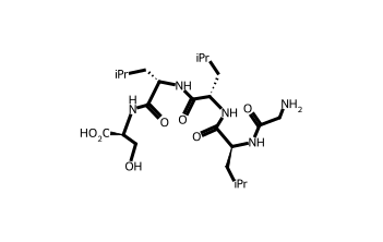 CC(C)C[C@H](NC(=O)CN)C(=O)N[C@@H](CC(C)C)C(=O)N[C@@H](CC(C)C)C(=O)N[C@@H](CO)C(=O)O